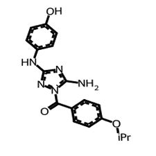 CC(C)Oc1ccc(C(=O)n2nc(Nc3ccc(O)cc3)nc2N)cc1